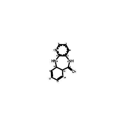 O=C1Nc2cccnc2NC2C=CC=CC12